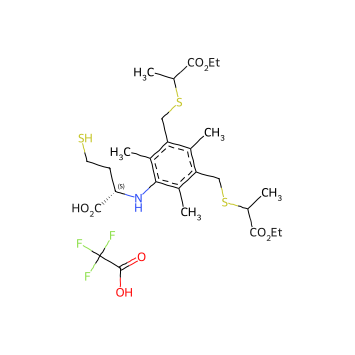 CCOC(=O)C(C)SCc1c(C)c(CSC(C)C(=O)OCC)c(C)c(N[C@@H](CCS)C(=O)O)c1C.O=C(O)C(F)(F)F